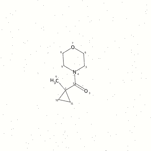 CC1(C(=O)N2CCOCC2)CC1